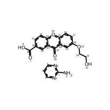 Nc1ncccn1.O=C(O)c1ccc2oc3ccc(OCCO)cc3c(=O)c2c1